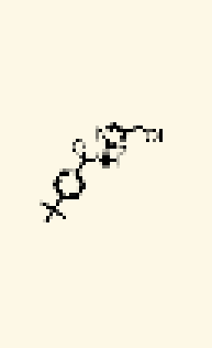 CC(C)(C)c1ccc(C(=O)Nc2ncc(CO)s2)cc1